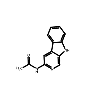 CC(=O)Nc1cc2c(cn1)[nH]c1ccccc12